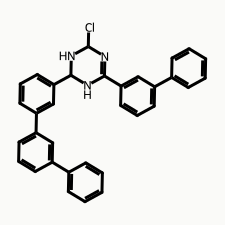 ClC1N=C(c2cccc(-c3ccccc3)c2)NC(c2cccc(-c3cccc(-c4ccccc4)c3)c2)N1